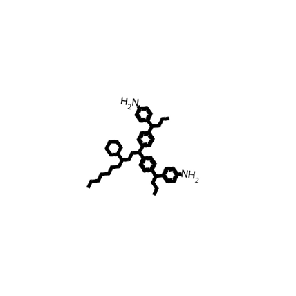 CCCCCCCC(CCC(c1ccc(C(CCC)c2ccc(N)cc2)cc1)c1ccc(C(CCC)c2ccc(N)cc2)cc1)C1CCCCC1